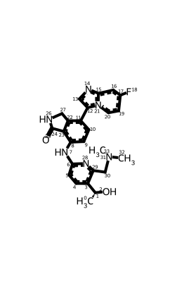 C[C@@H](O)c1ccc(Nc2ccc(-c3cnc4cc(F)ccn34)c3c2C(=O)NC3)nc1CN(C)C